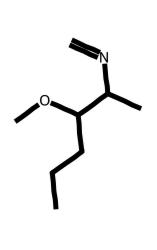 C=NC(C)C(CCC)OC